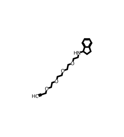 C#CCOCCOCCOCCOCCNC1CCc2ccccc21